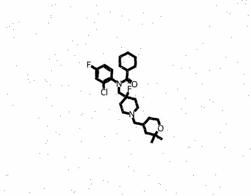 CC1(C)CC(CN2CCC(F)(CN(C(=O)C3CCCCC3)c3ccc(F)cc3Cl)CC2)CCO1